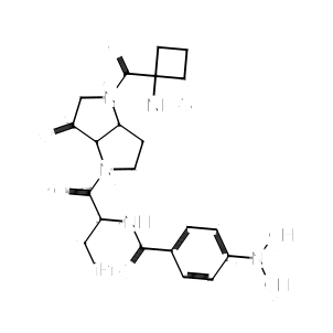 CC(=O)NC1(C(=O)N2CC(=O)C3C2CCN3C(=O)C(CC(C)C)NC(=O)c2ccc(N(C)C)cc2)CCC1